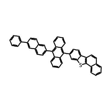 c1ccc(-c2ccc3cc(-c4c5ccccc5c(-c5ccc6c(c5)sc5c7ccccc7ccc65)c5ccccc45)ccc3c2)cc1